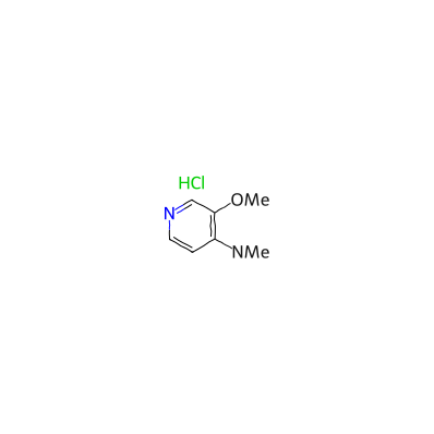 CNc1ccncc1OC.Cl